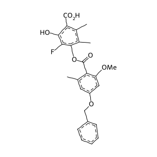 COc1cc(OCc2ccccc2)cc(C)c1C(=O)Oc1c(C)c(C)c(C(=O)O)c(O)c1F